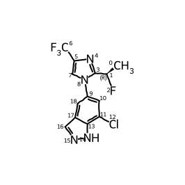 C[C@@H](F)c1nc(C(F)(F)F)cn1-c1cc(Cl)c2[nH]ncc2c1